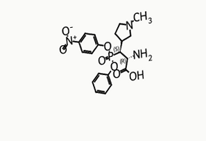 CN1CCC([C@@H]([C@H](N)C(=O)O)P(=O)(Oc2ccccc2)Oc2ccc([N+](=O)[O-])cc2)C1